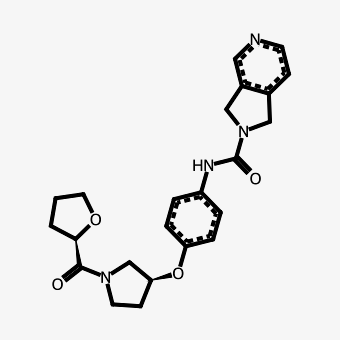 O=C(Nc1ccc(O[C@H]2CCN(C(=O)[C@H]3CCCO3)C2)cc1)N1Cc2ccncc2C1